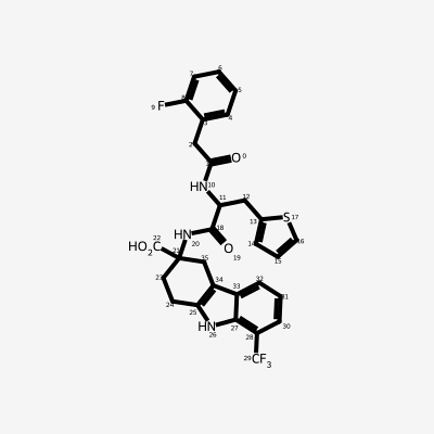 O=C(Cc1ccccc1F)NC(Cc1cccs1)C(=O)NC1(C(=O)O)CCc2[nH]c3c(C(F)(F)F)cccc3c2C1